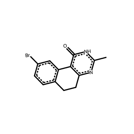 Cc1nc2c(c(=O)[nH]1)-c1cc(Br)ccc1CC2